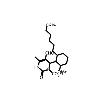 CCCCCCCCCCCCCCCC1CCCC(OC)C1C1C(C=O)=C(C)NC(=O)N1C(=O)OCC